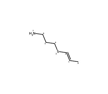 CC=CSCCCN